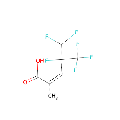 CC(=CC(F)(C(F)F)C(F)(F)F)C(=O)O